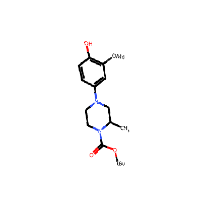 COc1cc(N2CCN(C(=O)OC(C)(C)C)C(C)C2)ccc1O